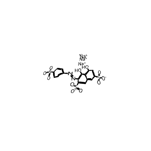 O=S(=O)([O-])c1ccc(N=Nc2c(S(=O)(=O)[O-])cc3cc(S(=O)(=O)[O-])cc(O)c3c2O)cc1.[Na+].[Na+].[Na+]